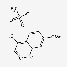 COC1=CC2[Te][C+]=CC(C)=C2C=C1.O=S(=O)([O-])C(F)(F)F